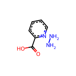 NN.O=C(O)c1ccccn1